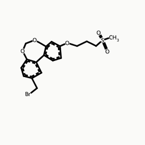 CS(=O)(=O)CCCOc1ccc2c(c1)OCOc1ccc(CBr)cc1-2